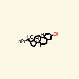 CCCC=C1CC[C@H]2[C@@H]3C=Cc4cc(O)ccc4[C@H]3CC[C@]12C